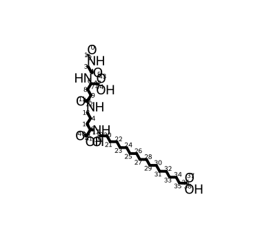 O=CNCC(=O)NC(CCC(=O)NCCCC(NC(=O)CCCCCCCCCCCCCCCCC(=O)O)C(=O)O)C(=O)O